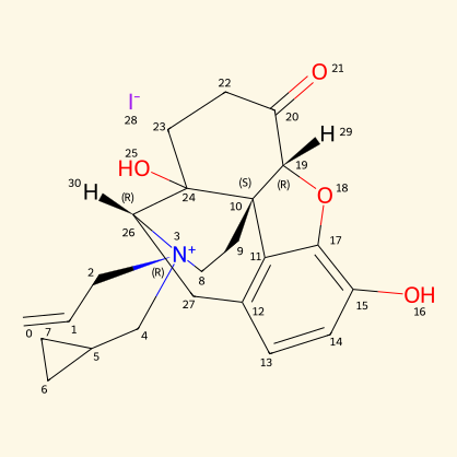 C=CC[N@+]1(CC2CC2)CC[C@]23c4c5ccc(O)c4O[C@H]2C(=O)CCC3(O)[C@H]1C5.[I-]